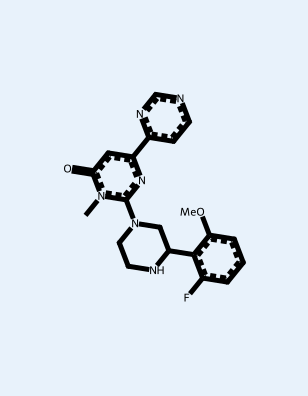 COc1cccc(F)c1C1CN(c2nc(-c3ccncn3)cc(=O)n2C)CCN1